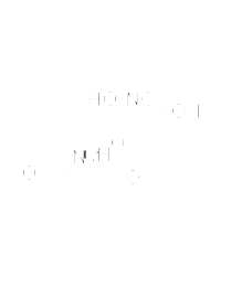 CN1C2CC(OC(=O)[C@H](CO)c3ccccc3)CC1C1OC12.O=[N+]([O-])O